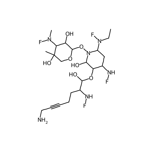 CCN(F)C1CC(NF)C(OC(O)C(CCC#CCN)NF)C(O)N1OC1OCC(C)(O)C(N(C)F)C1O